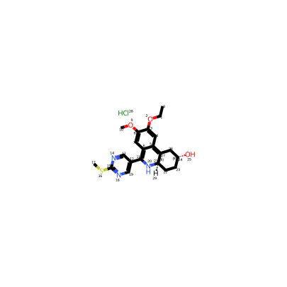 CCOc1cc2c(cc1OC)=C(c1cnc(SC)nc1)N[C@@H]1CC[C@@H](O)CC=21.Cl